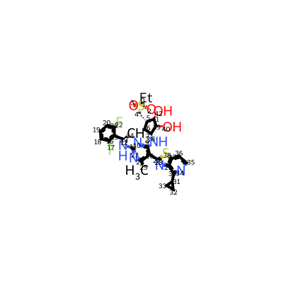 CCS(=O)(=O)C[C@H]1C[C@@H](Nc2nc(N[C@H](C)c3c(F)cccc3F)nc(C)c2-c2nc3c(C4CC4)nccc3s2)[C@H](O)[C@@H]1O